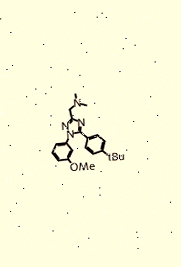 COc1cccc(-n2nc(CN(C)C)nc2-c2ccc(C(C)(C)C)cc2)c1